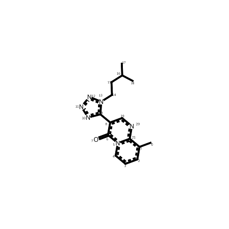 Cc1cccn2c(=O)c(-c3nnnn3CCC(C)C)cnc12